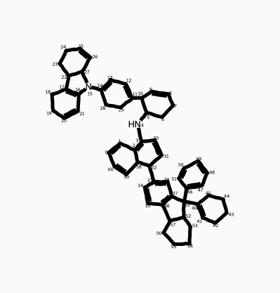 C1=CC2=C(NC3CCC=CC3C3=CC=C(N4C5=C(CCC=C5)C5CCC=CC54)CC3)C=CC(c3ccc4c(c3)C(C3=CCCCC3)(c3ccccc3)C3CCCCC43)C2C=C1